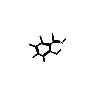 CCc1c(C)c(C)c(C)c(C)c1/C(C)=N/C